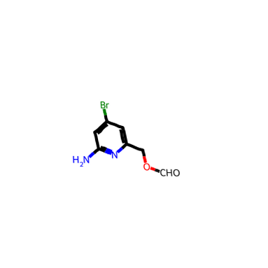 Nc1cc(Br)cc(COC=O)n1